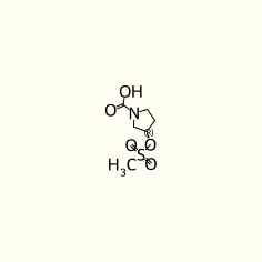 CS(=O)(=O)O[C@@H]1CCN(C(=O)O)C1